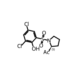 CC(=O)[C@@H]1CCCN1S(=O)(=O)c1cc(Cl)cc(Cl)c1O